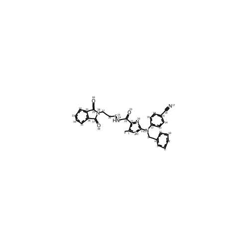 Cc1sc(N(Cc2ccccc2)c2ccc(C#N)cc2)nc1C(=O)NSCCN1C(=O)c2ccccc2C1=O